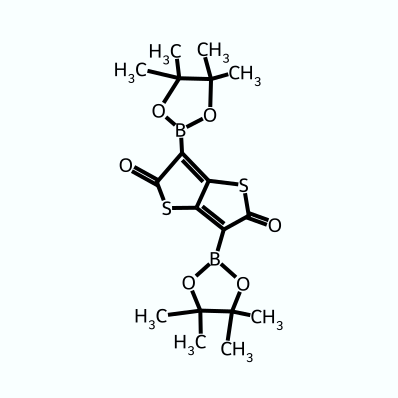 CC1(C)OB(C2=C3SC(=O)C(B4OC(C)(C)C(C)(C)O4)=C3SC2=O)OC1(C)C